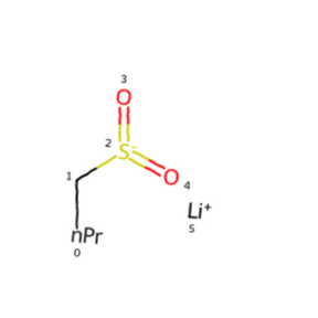 CCCC[S-](=O)=O.[Li+]